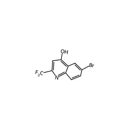 Oc1cc(C(F)(F)F)nc2ccc(Br)cc12